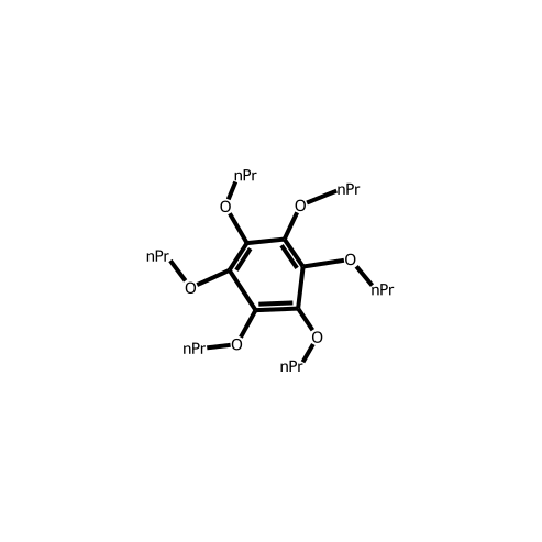 CCCOc1c(OCCC)c(OCCC)c(OCCC)c(OCCC)c1OCCC